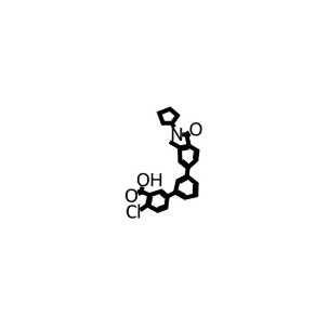 O=C(O)c1cc(-c2cccc(-c3ccc4c(c3)CN(C3CCCC3)C4=O)c2)ccc1Cl